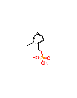 Cc1ccccc1COP(=O)(O)O